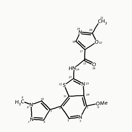 COc1ncc(-c2cnn(C)c2)c2sc(NC(=O)c3cnc(C)o3)nc12